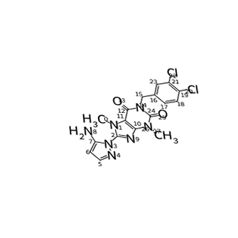 Cn1c(-n2nccc2N)nc2c1c(=O)n(Cc1ccc(Cl)c(Cl)c1)c(=O)n2C